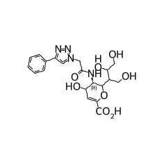 O=C(Cn1cc(-c2ccccc2)nn1)N[C@@H]1C(O)C=C(C(=O)O)OC1C(CO)C(O)CO